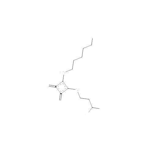 CCCCCCNc1c(NCCC(O)O)c(=O)c1=O